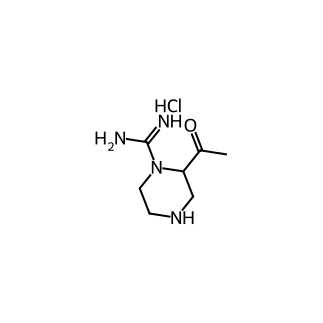 CC(=O)C1CNCCN1C(=N)N.Cl